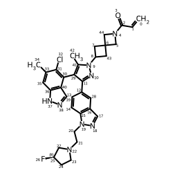 C=CC(=O)N1CC2(CC(n3nc(-c4ccc5c(cnn5CCN5CC[C@@H](F)C5)c4)c(-c4c(Cl)c(C)cc5[nH]ncc45)c3C)C2)C1